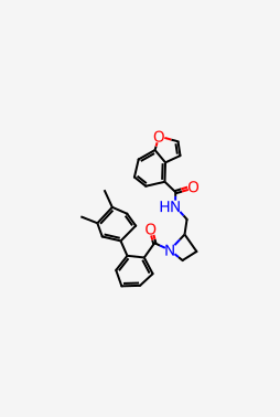 Cc1ccc(-c2ccccc2C(=O)N2CCC2CNC(=O)c2cccc3occc23)cc1C